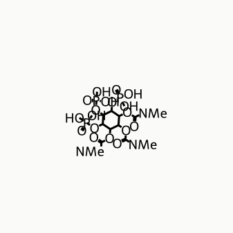 CNC(=O)OC1C(OC(=O)NC)C(OP(=O)(O)O)C(OP(=O)(O)O)C(OP(=O)(O)O)C1OC(=O)NC